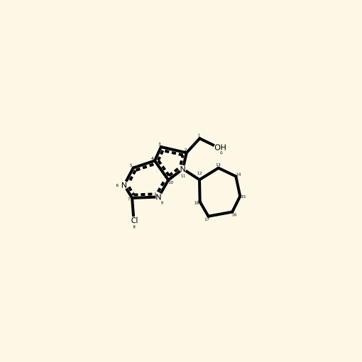 OCc1cc2cnc(Cl)nc2n1C1CCCCCC1